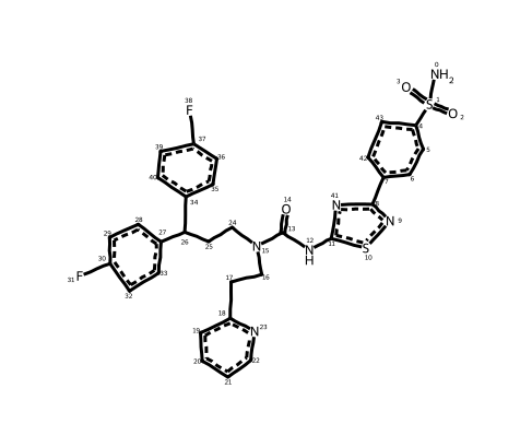 NS(=O)(=O)c1ccc(-c2nsc(NC(=O)N(CCc3ccccn3)CCC(c3ccc(F)cc3)c3ccc(F)cc3)n2)cc1